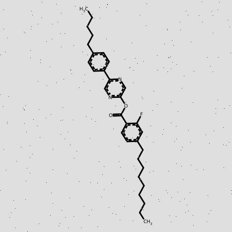 CCCCCCCCCc1ccc(C(=O)Oc2cnc(-c3ccc(CCCCC)cc3)cn2)c(F)c1